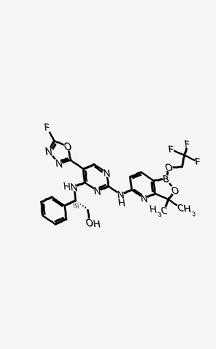 CC1(C)OB(OCC(F)(F)F)c2ccc(Nc3ncc(-c4nnc(F)o4)c(N[C@H](CO)c4ccccc4)n3)nc21